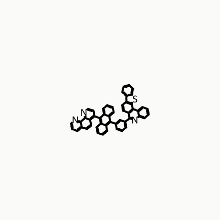 c1cc(-c2c3ccccc3c(-c3ccnc4c3ccc3cccnc34)c3ccccc23)cc(-c2nc3ccccc3c3c2ccc2c4ccccc4sc23)c1